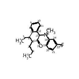 CCCCC(CC)c1ccccc1C(C=O)N(C)c1cccc(F)c1